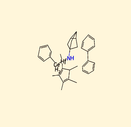 CC1=C(C)C(C)[C]([Hf]([CH3])([NH]C23CC4C(C2)C4C3)[GeH2][c]2ccccc2)=C1C.c1ccc(-c2ccccc2)cc1